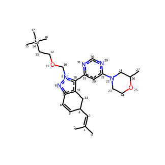 CC(C)=CC1C=Cc2nn(COCC[Si](C)(C)C)c(-c3cc(N4CCOC(C)C4)ncn3)c2C1